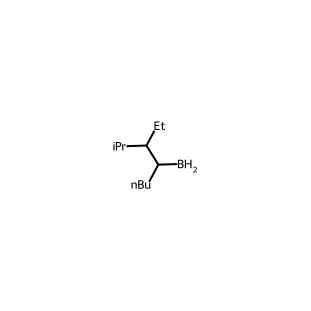 BC(CCCC)C(CC)C(C)C